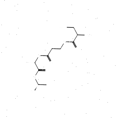 CSC(CC(=O)O)C(=O)NCCC(=O)N[C@@H](C)C(=O)N[C@@H](C)C(C)=O